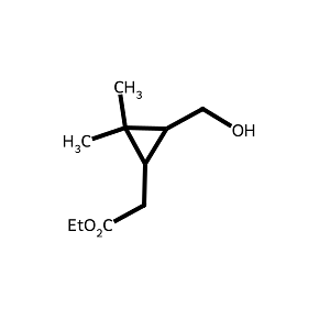 CCOC(=O)CC1C(CO)C1(C)C